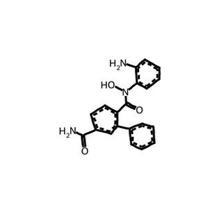 NC(=O)c1ccc(C(=O)N(O)c2ccccc2N)c(-c2ccccc2)c1